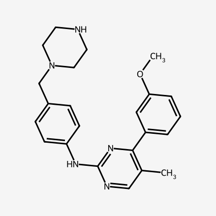 COc1cccc(-c2nc(Nc3ccc(CN4CCNCC4)cc3)ncc2C)c1